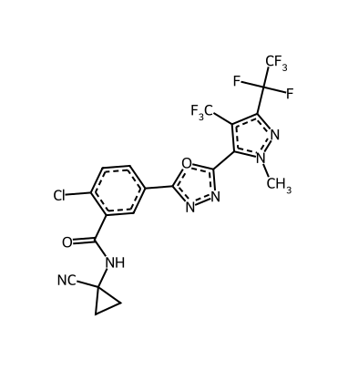 Cn1nc(C(F)(F)C(F)(F)F)c(C(F)(F)F)c1-c1nnc(-c2ccc(Cl)c(C(=O)NC3(C#N)CC3)c2)o1